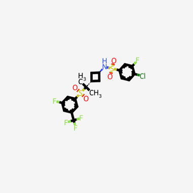 CC(C)([C@H]1C[C@H](NS(=O)(=O)c2ccc(Cl)c(F)c2)C1)S(=O)(=O)c1cc(F)cc(C(F)(F)F)c1